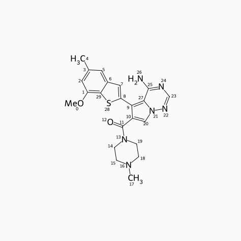 COc1cc(C)cc2cc(-c3c(C(=O)N4CCN(C)CC4)cn4ncnc(N)c34)sc12